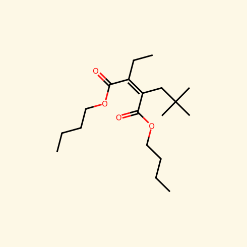 CCCCOC(=O)C(CC)=C(CC(C)(C)C)C(=O)OCCCC